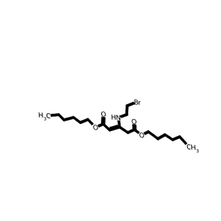 CCCCCCOC(=O)C=C(CC(=O)OCCCCCC)NCCBr